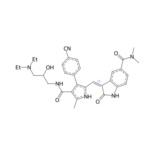 CCN(CC)CC(O)CNC(=O)c1c(C)[nH]c(/C=C2\C(=O)Nc3ccc(C(=O)N(C)C)cc32)c1-c1ccc(C#N)cc1